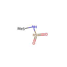 CSN[SH](=O)=O